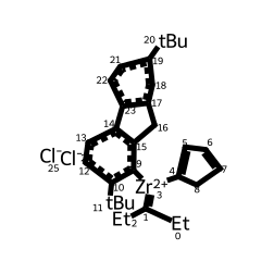 CC[C](CC)=[Zr+2]([C]1=CC=CC1)[c]1c(C(C)(C)C)ccc2c1Cc1cc(C(C)(C)C)ccc1-2.[Cl-].[Cl-]